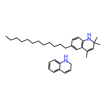 C1=Cc2ccccc2NC1.CCCCCCCCCCCCc1ccc2c(c1)C(C)=CC(C)(C)N2